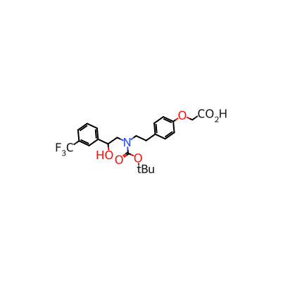 CC(C)(C)OC(=O)N(CCc1ccc(OCC(=O)O)cc1)CC(O)c1cccc(C(F)(F)F)c1